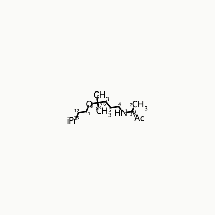 CC(=O)[C@H](C)NCCCC(C)(C)OCCC(C)C